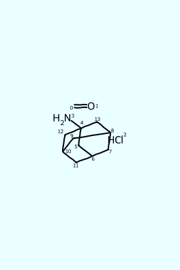 C=O.Cl.NC12CC3CC(CC(C3)C1)C2